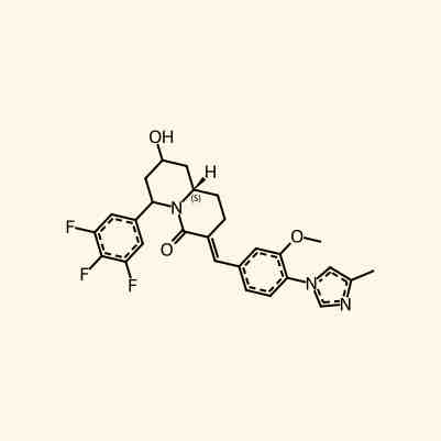 COc1cc(C=C2CC[C@H]3CC(O)CC(c4cc(F)c(F)c(F)c4)N3C2=O)ccc1-n1cnc(C)c1